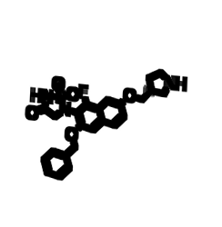 O=C1CN(c2c(OCc3ccccc3)cc3ccc(OC[C@H]4CCNC4)cc3c2F)S(=O)(=O)N1